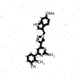 COc1ccc2c(Cn3cc(-c4cc(-c5cccc(C#N)c5C)nc(N)n4)nn3)c[nH]c2c1